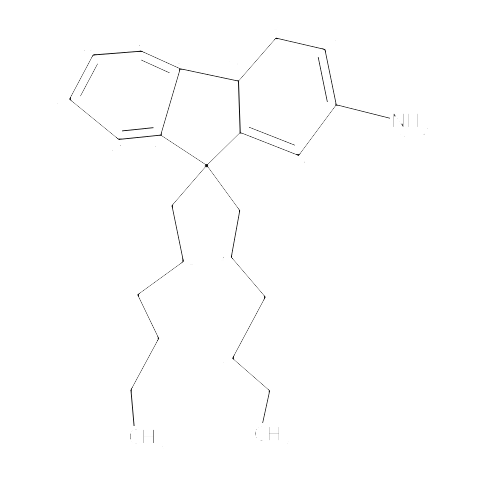 CCCCCCC1(CCCCCC)C2=CC(N)=CCC2c2ccccc21